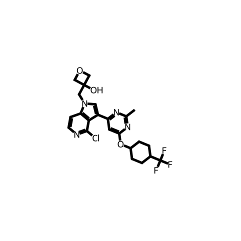 Cc1nc(OC2CCC(C(F)(F)F)CC2)cc(-c2cn(CC3(O)COC3)c3ccnc(Cl)c23)n1